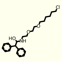 OC(NCCOCCOCCCCCCCl)C(c1ccccc1)c1ccccc1